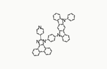 c1ccc(-n2c3ccccc3c3cc4c(cc32)c2ccccc2n4-c2ccc(-n3c(-c4ccncc4)nc4c5ccccc5c5ccccc5c43)cc2)cc1